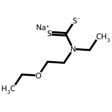 CCOCCN(CC)C(=S)[S-].[Na+]